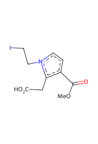 COC(=O)c1ccn(CCI)c1CC(=O)O